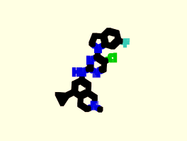 CN1CCc2c(cc(Nc3ncc(Cl)c(N4CCc5ccc(F)cc54)n3)cc2C2CC2)C1